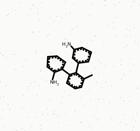 Cc1cccc(-c2ccccc2N)c1-c1cccc(N)c1